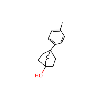 Cc1ccc(C23CCC(O)(CC2)CC3)cc1